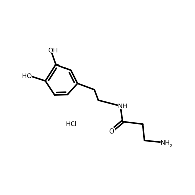 Cl.NCCC(=O)NCCc1ccc(O)c(O)c1